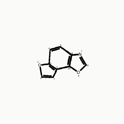 c1cc2c(ccc3ncoc32)o1